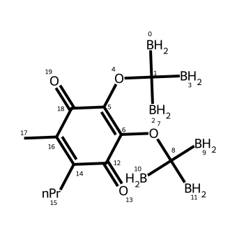 BC(B)(B)OC1=C(OC(B)(B)B)C(=O)C(CCC)=C(C)C1=O